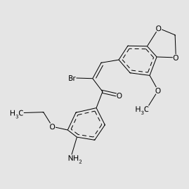 CCOc1cc(C(=O)/C(Br)=C\c2cc(OC)c3c(c2)OCO3)ccc1N